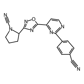 N#Cc1ccc(-c2nccc(-c3nc(C4CCCN4C#N)no3)n2)cc1